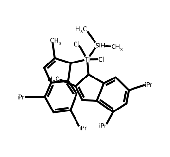 CC1=Cc2c(C(C)C)cc(C(C)C)cc2[CH]1[Ti]([Cl])([Cl])([CH]1C(C)=Cc2c(C(C)C)cc(C(C)C)cc21)[SiH](C)C